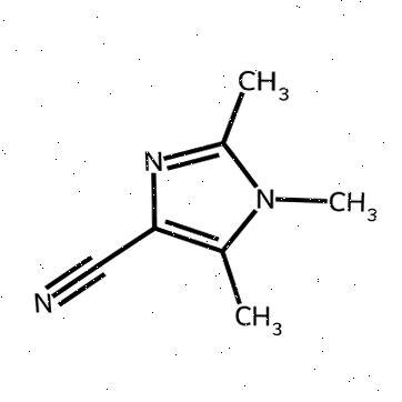 Cc1nc(C#N)c(C)n1C